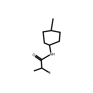 CC1CCC(NC(=O)C(C)F)CC1